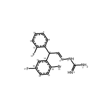 N=C(N)NN=CC(c1ccccc1F)c1cc(F)ccc1Br